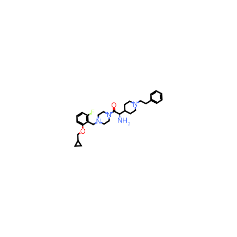 N[C@@H](C(=O)N1CCN(Cc2c(F)cccc2OCC2CC2)CC1)C1CCN(CCc2ccccc2)CC1